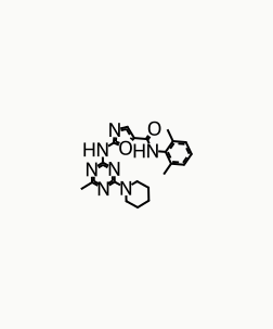 Cc1nc(Nc2ncc(C(=O)Nc3c(C)cccc3C)o2)nc(N2CCCCC2)n1